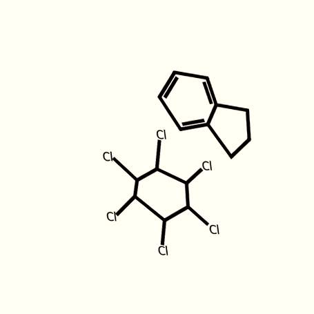 ClC1C(Cl)C(Cl)C(Cl)C(Cl)C1Cl.c1ccc2c(c1)CCC2